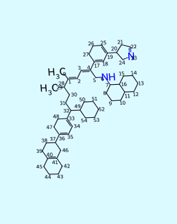 C/C(=C\C=C(/CNC1CCCC2CCCCC21)C1=CC(C2CC=NC2)=CCC1)C(C)CCC(C1=CC=C(C2CCC3=C(CCCC3)C2)CC1)C1CCCCC1